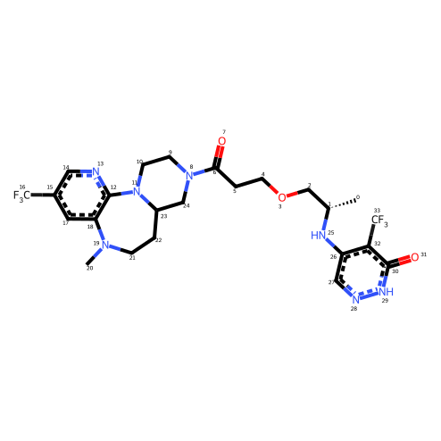 C[C@@H](COCCC(=O)N1CCN2c3ncc(C(F)(F)F)cc3N(C)CCC2C1)Nc1cn[nH]c(=O)c1C(F)(F)F